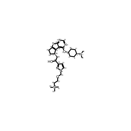 CN(C)[C@H]1CC[C@@H](Oc2ncnc3sc4c(c23)[C@@H](CC(O)c2ccn(COCC[Si](C)(C)C)n2)CC4)CC1